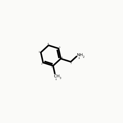 CC1=CCCC=C1CN